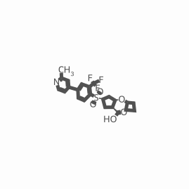 Cc1cc(-c2ccc(S(=O)(=O)[C@@H]3C[C@H](OC4CCC4)[C@@H](C(=O)O)C3)c(C(F)(F)F)c2)ccn1